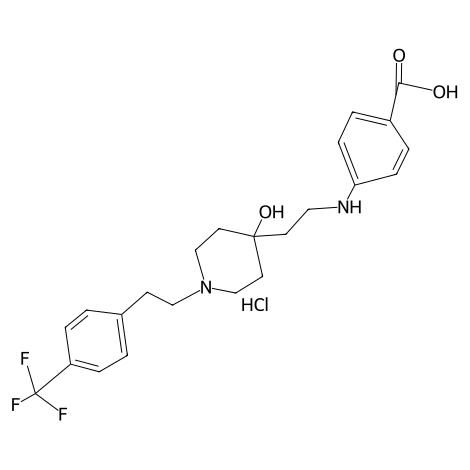 Cl.O=C(O)c1ccc(NCCC2(O)CCN(CCc3ccc(C(F)(F)F)cc3)CC2)cc1